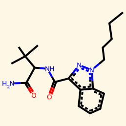 CCCCCn1nc(C(=O)NC(C(N)=O)C(C)(C)C)c2ccccc21